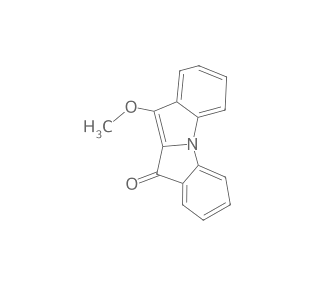 COc1c2n(c3ccccc13)-c1ccccc1C2=O